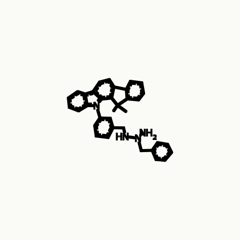 CC1(C)c2ccccc2-c2ccc3c4ccccc4n(-c4cccc(CNN(N)Cc5ccccc5)c4)c3c21